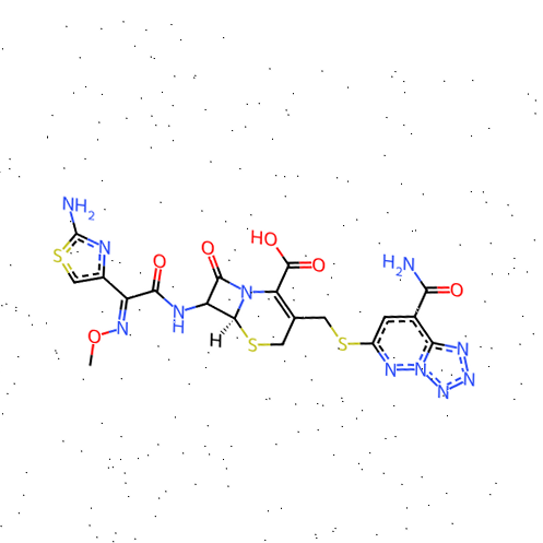 CON=C(C(=O)NC1C(=O)N2C(C(=O)O)=C(CSc3cc(C(N)=O)c4nnnn4n3)CS[C@@H]12)c1csc(N)n1